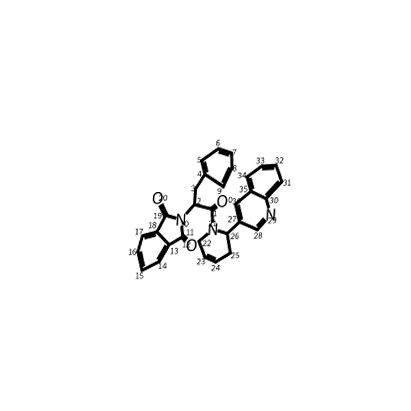 O=C(C(Cc1ccccc1)N1C(=O)c2ccccc2C1=O)N1CC=CCC1c1cnc2ccccc2c1